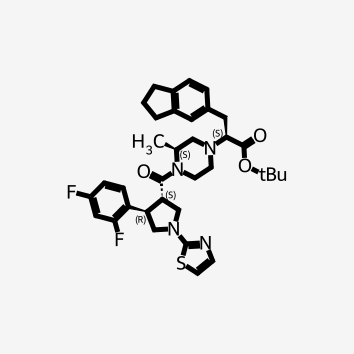 C[C@H]1CN([C@@H](Cc2ccc3c(c2)CCC3)C(=O)OC(C)(C)C)CCN1C(=O)[C@@H]1CN(c2nccs2)C[C@H]1c1ccc(F)cc1F